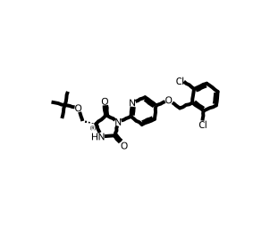 CC(C)(C)OC[C@H]1NC(=O)N(c2ccc(OCc3c(Cl)cccc3Cl)cn2)C1=O